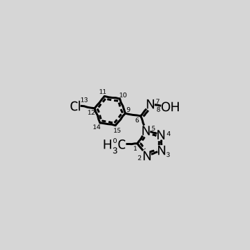 Cc1nnnn1C(=NO)c1ccc(Cl)cc1